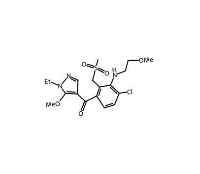 CCn1ncc(C(=O)c2ccc(Cl)c(NCCOC)c2CS(C)(=O)=O)c1OC